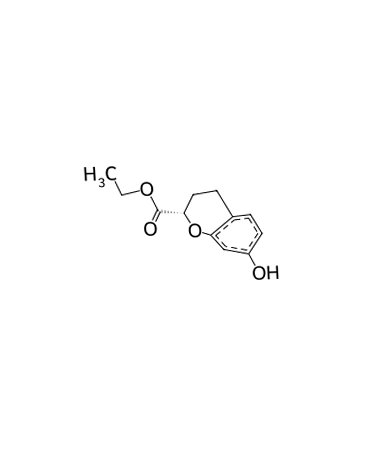 CCOC(=O)[C@@H]1CCc2ccc(O)cc2O1